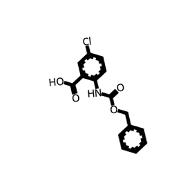 O=C(Nc1ccc(Cl)cc1C(=O)O)OCc1ccccc1